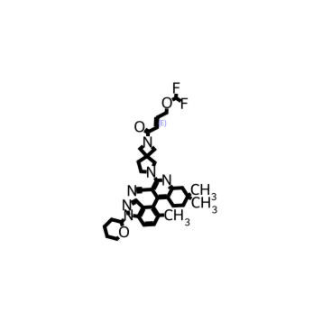 Cc1ccc2c(cnn2C2CCCCO2)c1-c1c(C#N)c(N2CCC3(CN(C(=O)/C=C/COC(F)F)C3)C2)nc2c1CCC(C)(C)C2